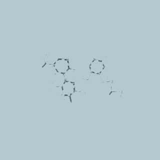 CCNC(=O)NCc1cc(F)ccc1COc1c(-c2cc(C(=O)OC)ccc2C)c(C)[nH]c(=O)c1Br